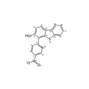 O=[N+]([O-])c1ccc(-c2c(O)ccc3c2sc2ccccc23)nc1